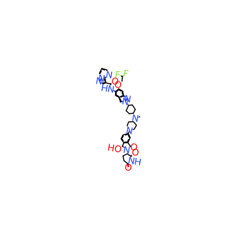 CN(C1CCN(c2ccc3c(c2)C(=O)N(C2CCC(=O)NC2=O)C3O)CC1)[C@H]1CC[C@H](n2cc3cc(NC(=O)c4cnn5cccnc45)c(OCC(F)F)cc3n2)CC1